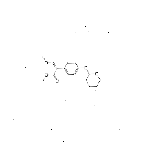 COC=C(C(=O)OC)c1ccc(OC2CCCCO2)cc1